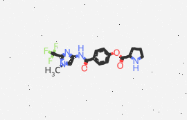 Cn1cc(NC(=O)c2ccc(OC(=O)C3CCCN3)cc2)nc1C(F)(F)F